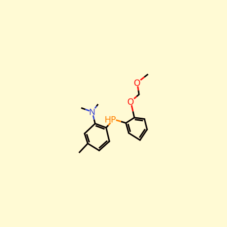 COCOc1ccccc1Pc1ccc(C)cc1N(C)C